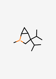 CC(C)C1(C(C)C)CP(C)C2CC21